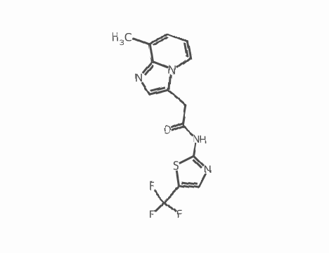 Cc1cccn2c(CC(=O)Nc3ncc(C(F)(F)F)s3)cnc12